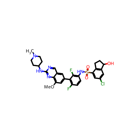 COc1cc(-c2c(F)ccc(NS(=O)(=O)c3cc(Cl)cc4c3CCC4O)c2F)cc2cnc(NC3CCN(C)CC3)nc12